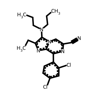 CCCN(CCC)c1c(CC)nc2c(-c3ccc(Cl)cc3Cl)nc(C#N)cn12